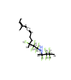 C/C=C(/C)C=C=CCCC(C)(F)C(F)(F)C(F)(F)NC(C)(F)C(F)(F)C(C)(F)F